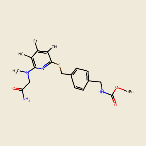 CCc1c(C#N)c(SCc2ccc(CNC(=O)OC(C)(C)C)cc2)nc(N(C)CC(N)=O)c1C#N